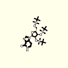 CC(C)(C)[Si](C)(C)OC[C@H]1O[C@@H](n2cnc3c(=O)[nH]ccc32)[C@H](O[Si](C)(C)C(C)(C)C)[C@@H]1O[Si](C)(C)C(C)(C)C